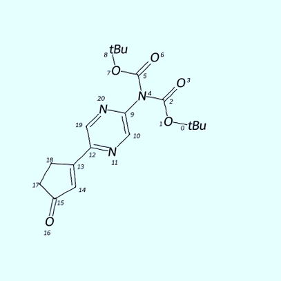 CC(C)(C)OC(=O)N(C(=O)OC(C)(C)C)c1cnc(C2=CC(=O)CC2)cn1